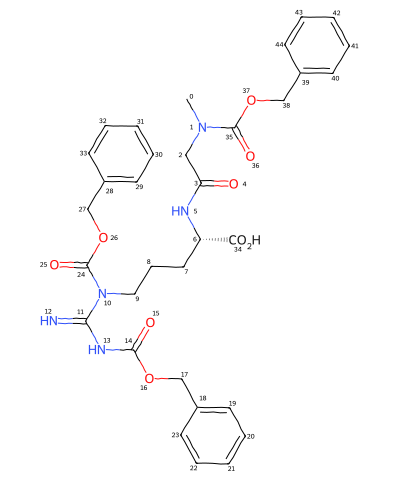 CN(CC(=O)N[C@@H](CCCN(C(=N)NC(=O)OCc1ccccc1)C(=O)OCc1ccccc1)C(=O)O)C(=O)OCc1ccccc1